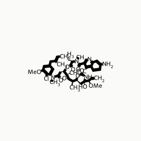 C=C[C@@H](OC)[C@@]1(O)C[C@@H]([C@@H](C)[C@@H]2O[C@@]2(C)[C@H](CC(=O)N(C)c2cc(C/C(C)=C/C)cc(OC)c2Cl)OC(=O)[C@H](C)N(C)C(=O)c2cnc3cc(N)ccc3c2C(F)(F)F)OC(=O)N1